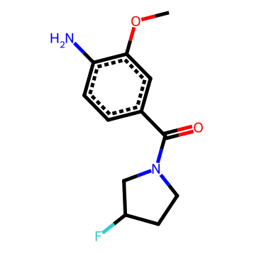 COc1cc(C(=O)N2CCC(F)C2)ccc1N